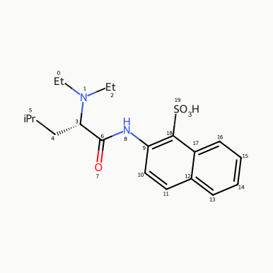 CCN(CC)[C@@H](CC(C)C)C(=O)Nc1ccc2ccccc2c1S(=O)(=O)O